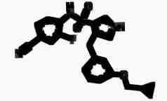 N#Cc1ccc(NS(=O)(=O)c2c[nH]cc2Cc2cccc(OCC3CC3)c2)c(F)c1